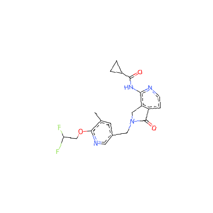 Cc1cc(CN2Cc3c(ccnc3NC(=O)C3CC3)C2=O)cnc1OCC(F)F